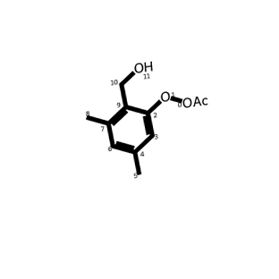 CC(=O)OOc1cc(C)cc(C)c1CO